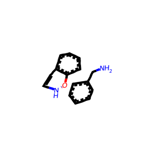 C1=Cc2ccccc2ON1.NCc1ccccc1